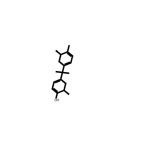 CC1=CC=C(C(C)(C)C2=CC=C(O)C(C)C2)CC1C